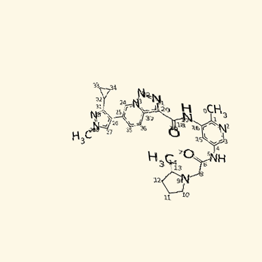 Cc1ncc(NC(=O)CN2CCC[C@@H]2C)cc1NC(=O)c1nnn2cc(-c3cn(C)nc3C3CC3)ccc12